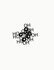 Oc1cc(O)c2c(c1)O[C@H](c1cc(O)c(O)c(O)c1)[C@@H](O)[C@@H]2c1c(O)cc(O)c2c1O[C@H](c1ccc(O)c(O)c1)[C@@H](O)C2